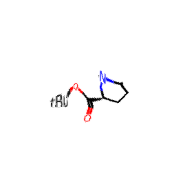 CC(C)(C)OC(=O)[C@@H]1CCC[N]1